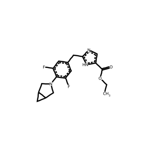 CCOC(=O)c1cnc(Cc2cc(F)c(N3CC4CC4C3)c(F)c2)[nH]1